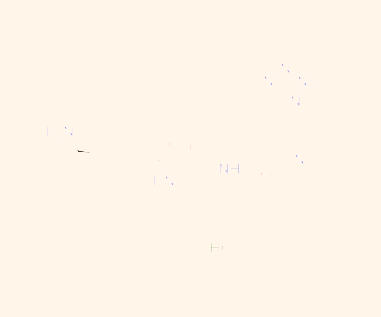 Cl.NC[C@H]1CC[C@H](C(=O)N[C@@H](Cc2ccc(-c3ccccc3C(=O)N3CCCCC3)cc2)C(=O)Nc2ccc(-c3nn[nH]n3)cc2)CC1